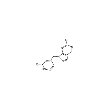 O=c1cc(Cn2ncc3cnc(Cl)nc32)cc[nH]1